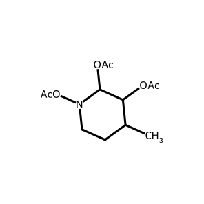 CC(=O)OC1C(C)CCN(OC(C)=O)C1OC(C)=O